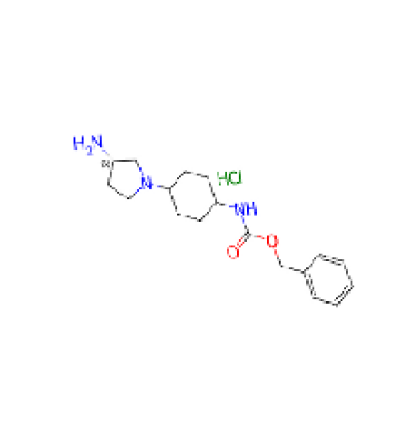 Cl.N[C@H]1CCN(C2CCC(NC(=O)OCc3ccccc3)CC2)C1